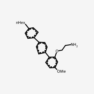 CCCCCCc1ccc(-c2ccc(-c3ccc(OC)cc3OCCN)cc2)cc1